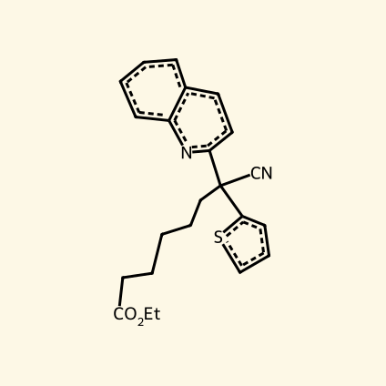 CCOC(=O)CCCCCC(C#N)(c1ccc2ccccc2n1)c1cccs1